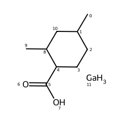 CC1CCC(C(=O)O)C(C)C1.[GaH3]